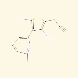 C#CCc1sc(N)c(-c2cccc(C)n2)c1N